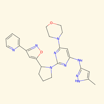 Cc1cc(Nc2cc(N3CCOCC3)nc(N3CCCC3c3cc(-c4ccccn4)no3)n2)n[nH]1